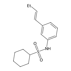 CC/C=C/c1cccc(NS(=O)(=O)C2CCCCC2)c1